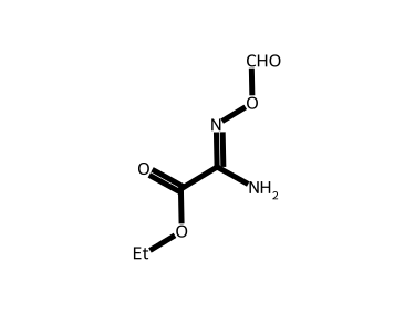 CCOC(=O)/C(N)=N/OC=O